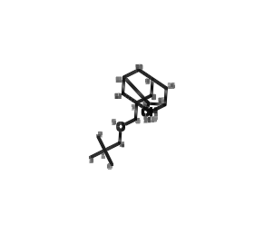 CC(C)(C)COCC12CC3CC(C1)C(O)C(C3)C2